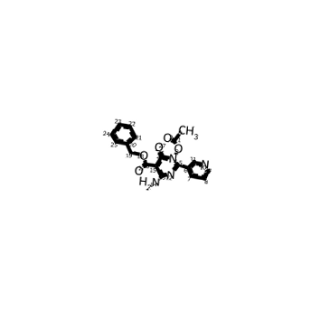 CC(=O)On1c(-c2cccnc2)nc(N)c(C(=O)OCc2ccccc2)c1=O